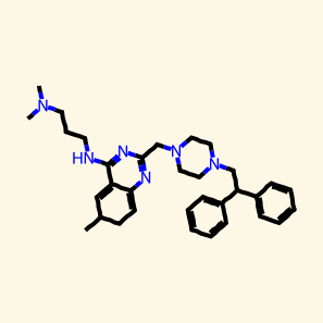 CC1C=c2c(NCCCN(C)C)nc(CN3CCN(CC(c4ccccc4)c4ccccc4)CC3)nc2=CC1